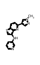 Cn1cc(-c2ccc3scc(Nc4cccnc4)c3n2)cn1